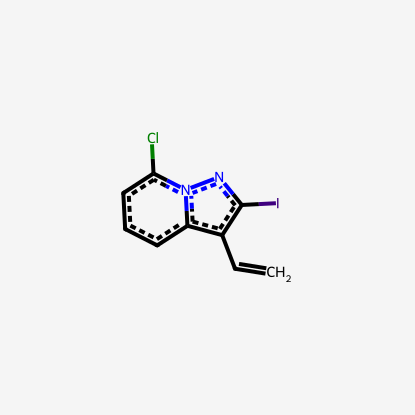 C=Cc1c(I)nn2c(Cl)cccc12